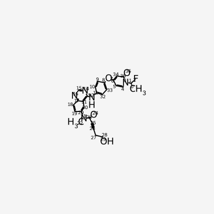 CC(F)n1ccc(Oc2ccc(Nc3ncnc4ccc(N(C)C(=O)C#CCCO)cc34)cc2)cc1=O